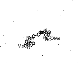 COC(=O)NC1(C(=O)N2CCC[C@H]2c2ncc(-c3ccc(-c4ccc5cc(-c6cnc([C@@H]7CCCN7C(=O)[C@@H](NC(O)OC)C(C)C)[nH]6)ccc5c4)cc3)[nH]2)CCc2ccccc21